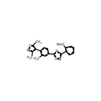 COc1ccccc1-c1noc(-c2ccc(-c3c(C)noc3C)c(C)c2)n1